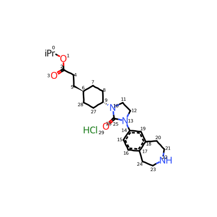 CC(C)OC(=O)CC[C@H]1CC[C@H](N2CCN(c3ccc4c(c3)CCNCC4)C2=O)CC1.Cl